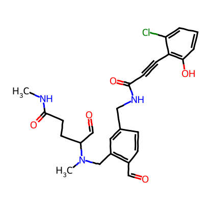 CNC(=O)CCC(C=O)N(C)Cc1cc(CNC(=O)C#Cc2c(O)cccc2Cl)ccc1C=O